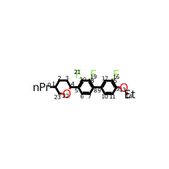 CCCC1CCC(c2ccc(-c3ccc(OCC)c(F)c3)c(F)c2F)OC1